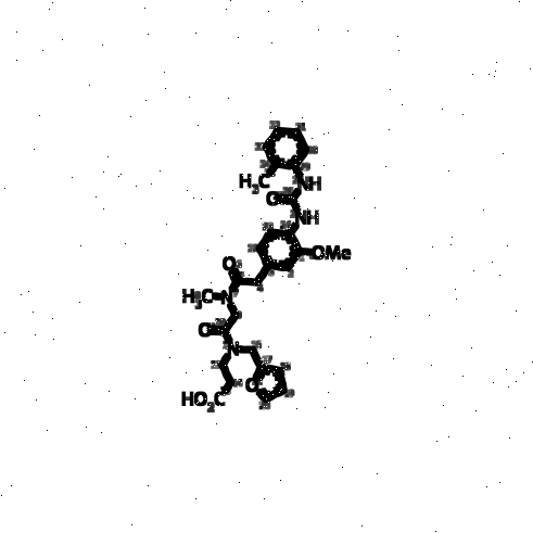 COc1cc(CC(=O)N(C)CC(=O)N(CCC(=O)O)Cc2ccco2)ccc1NC(=O)Nc1ccccc1C